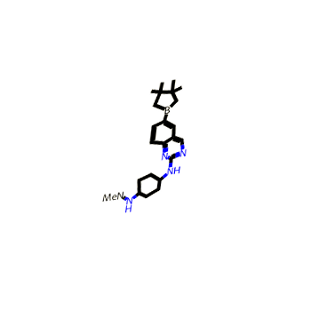 CNNC1CCC(Nc2ncc3cc(B4CC(C)(C)C(C)(C)C4)ccc3n2)CC1